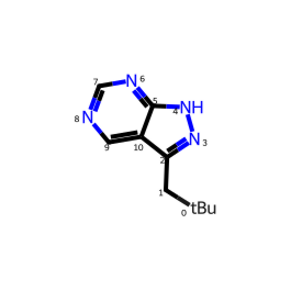 CC(C)(C)Cc1n[nH]c2ncncc12